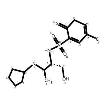 CC(NC1CCCC1)[C@@H](CO)NS(=O)(=O)C1=CC(Cl)=CCC1=S